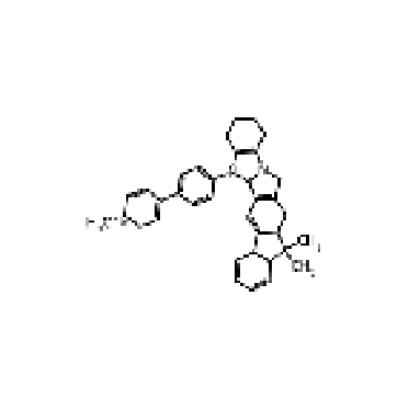 C[C@@H]1C=CC(c2ccc(N3C4=C(CCCC4)N4CC5=C(C=C6C7C=CC=CC7C(C)(C)C6C5)C43)cc2)=CC1